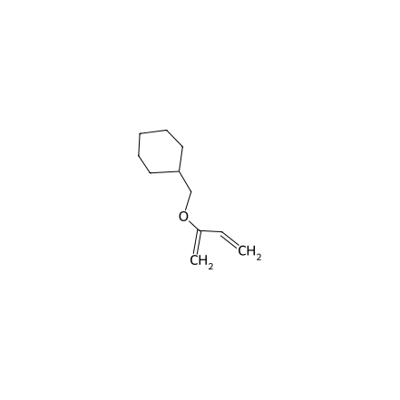 C=CC(=C)OCC1CCCCC1